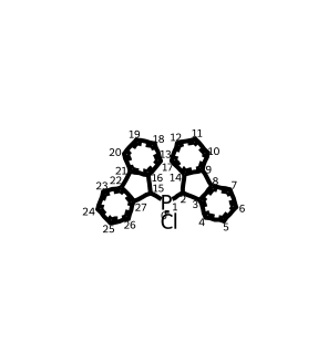 ClP(C1c2ccccc2-c2ccccc21)C1c2ccccc2-c2ccccc21